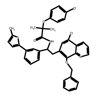 Cc1ccc(-c2cccc(C(Cc3cc(Cl)c4cccnc4c3OCc3ccccc3)NC(=O)C(C)(C)Oc3ccc(Cl)cc3)c2)s1